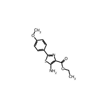 CCOC(=O)c1nc(-c2ccc(OC)cc2)sc1N